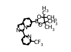 CC1(C)OB(c2ccc3cnc(-c4cccc(C(F)(F)F)n4)n3c2)OC1(C)C